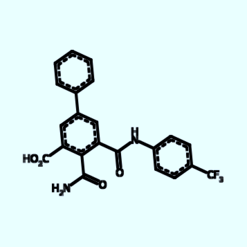 NC(=O)c1c(C(=O)O)cc(-c2ccccc2)cc1C(=O)Nc1ccc(C(F)(F)F)cc1